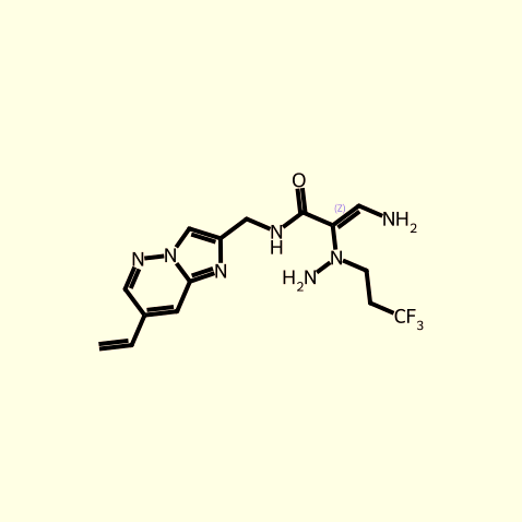 C=Cc1cnn2cc(CNC(=O)/C(=C/N)N(N)CCC(F)(F)F)nc2c1